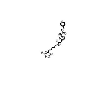 C=C(CCCCCNC(=O)Cc1csc(NC(=O)OCc2ccncc2)n1)NO